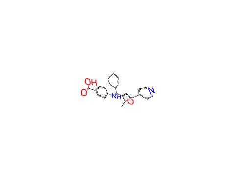 Cc1oc(-c2ccncc2)cc1C(Nc1ccc(C(=O)O)cc1)C1CCCCC1